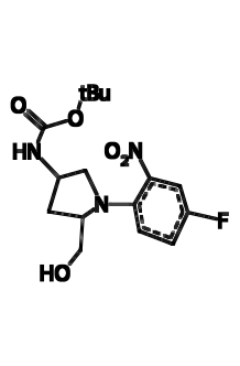 CC(C)(C)OC(=O)NC1CC(CO)N(c2ccc(F)cc2[N+](=O)[O-])C1